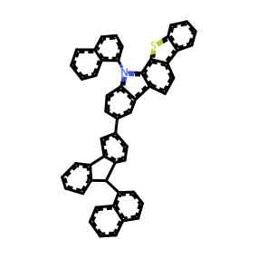 c1ccc2c(c1)-c1cc(-c3ccc4c(c3)c3ccc5c6ccccc6sc5c3n4-c3cccc4ccccc34)ccc1C2c1cccc2ccccc12